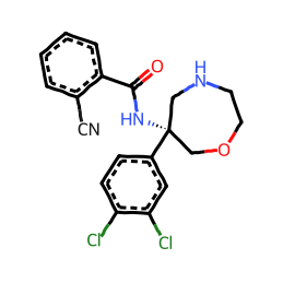 N#Cc1ccccc1C(=O)N[C@]1(c2ccc(Cl)c(Cl)c2)CNCCOC1